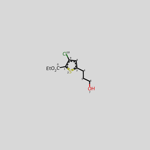 CCOC(=O)c1sc(CCCO)cc1Cl